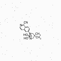 CC1(C)CNS(O)(O)N(c2ccc3c(C#N)nccc3c2)C1